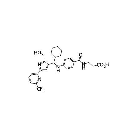 O=C(O)CCNC(=O)c1ccc(NC(c2cn(-c3cccc(C(F)(F)F)n3)nc2CO)C2CCCCC2)cc1